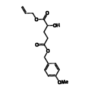 C=CCOC(=O)C(O)CCC(=O)OCc1ccc(OC)cc1